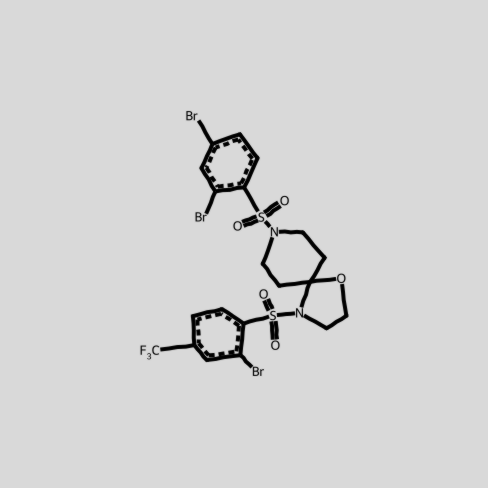 O=S(=O)(c1ccc(Br)cc1Br)N1CCC2(CC1)OCCN2S(=O)(=O)c1ccc(C(F)(F)F)cc1Br